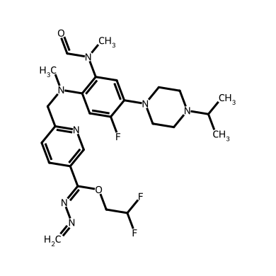 C=N/N=C(\OCC(F)F)c1ccc(CN(C)c2cc(F)c(N3CCN(C(C)C)CC3)cc2N(C)C=O)nc1